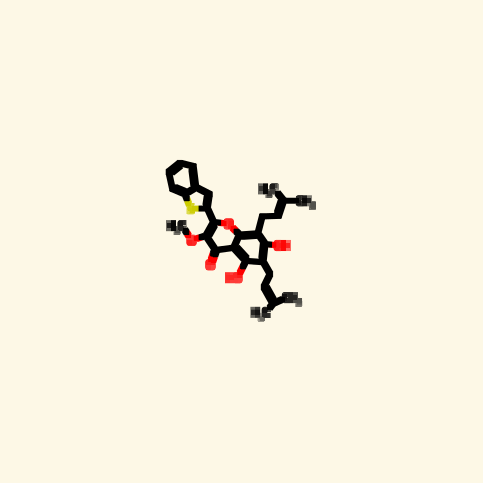 COc1c(-c2cc3ccccc3s2)oc2c(CC=C(C)C)c(O)c(CC=C(C)C)c(O)c2c1=O